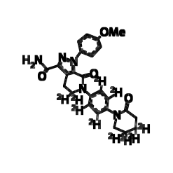 [2H]c1c([2H])c(N2C(=O)c3c(c(C(N)=O)nn3-c3ccc(OC)cc3)CC2([2H])[2H])c([2H])c([2H])c1N1CC([2H])([2H])C([2H])([2H])CC1=O